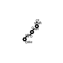 COc1cccc(C=NNC(=O)c2ccc(C(=O)Nc3ccc4[nH]c(C(F)(F)F)nc4c3)cc2)c1